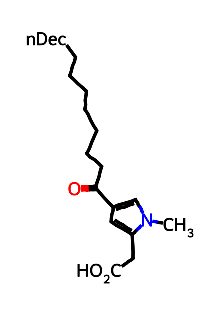 CCCCCCCCCCCCCCCCCC(=O)c1cc(CC(=O)O)n(C)c1